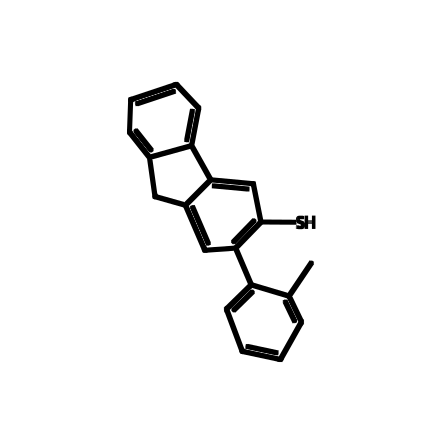 Cc1ccccc1-c1cc2c(cc1S)-c1ccccc1C2